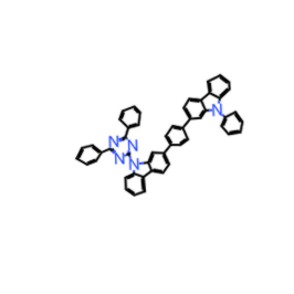 c1ccc(-c2nc(-c3ccccc3)nc(-n3c4ccccc4c4ccc(-c5ccc(-c6ccc7c8ccccc8n(-c8ccccc8)c7c6)cc5)cc43)n2)cc1